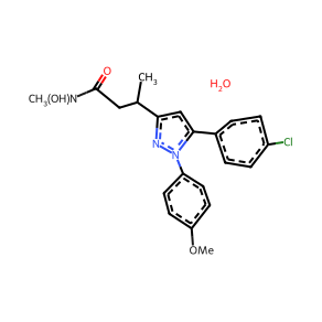 COc1ccc(-n2nc(C(C)CC(=O)N(C)O)cc2-c2ccc(Cl)cc2)cc1.O